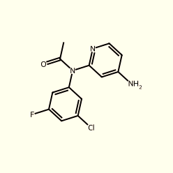 CC(=O)N(c1cc(F)cc(Cl)c1)c1cc(N)ccn1